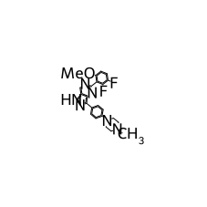 COc1ccc(F)c(F)c1-c1ncc2[nH]nc(-c3ccc(N4CCN(C)CC4)cc3)c2n1